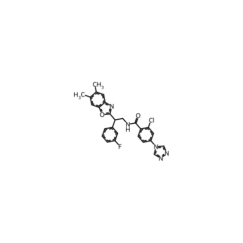 Cc1cc2nc(C(CNC(=O)c3ccc(-n4cnnc4)cc3Cl)c3cccc(F)c3)oc2cc1C